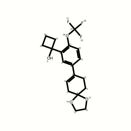 OC1(c2cc(C3=CCC4(CC3)OCCO4)ccc2OC(F)(F)F)CCC1